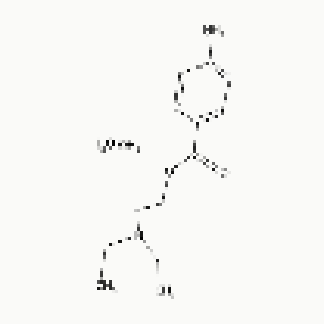 CCN(CC)CCOC(=O)c1ccc(N)cc1.O.O